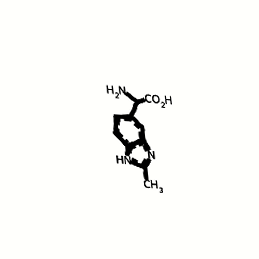 Cc1nc2cc(C(N)C(=O)O)ccc2[nH]1